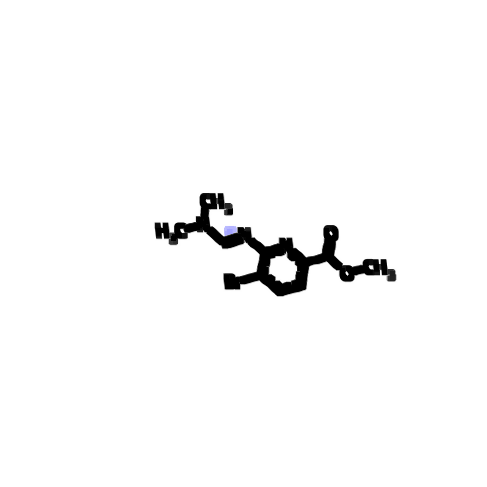 COC(=O)c1ccc(Br)c(/N=C/N(C)C)n1